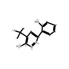 CC(C)(F)c1cc(-c2ccccc2O)nnc1N